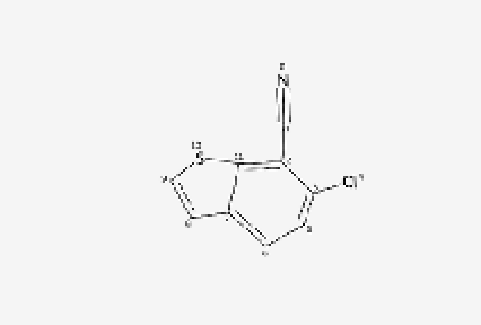 N#Cc1c(Cl)ccc2ccsc12